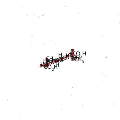 Cc1ccnc(NCCCC(=O)N[C@@H](COCc2ccc(OCCOCCOCCOC(=O)NCCCCNC(=O)OCCOCCOCCOc3ccc(COC[C@H](NC(=O)CCCNc4cc(C)ccn4)C(=O)NC(CC(=O)O)c4ccc(-c5cccc6ccccc56)cc4)cc3)cc2)C(=O)NC(CC(=O)O)c2ccc(-c3cccc4ccccc34)cc2)c1